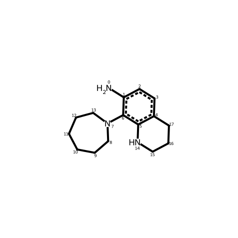 Nc1ccc2c(c1N1CCCCCC1)NCCC2